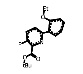 CCOc1ccccc1-c1ccc(F)c(C(=O)OC(C)(C)C)n1